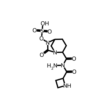 NN(C(=O)C1CCN1)C(=O)C1CCC2CN1C(=O)N2OS(=O)(=O)O